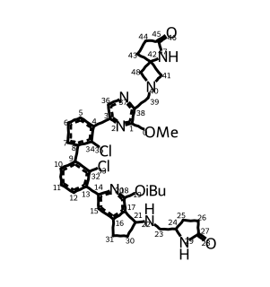 COc1nc(-c2cccc(-c3cccc(-c4cc5c(c(OCC(C)C)n4)C(NCC4CCC(=O)N4)CC5)c3Cl)c2Cl)cnc1CN1CC2(CCC(=O)N2)C1